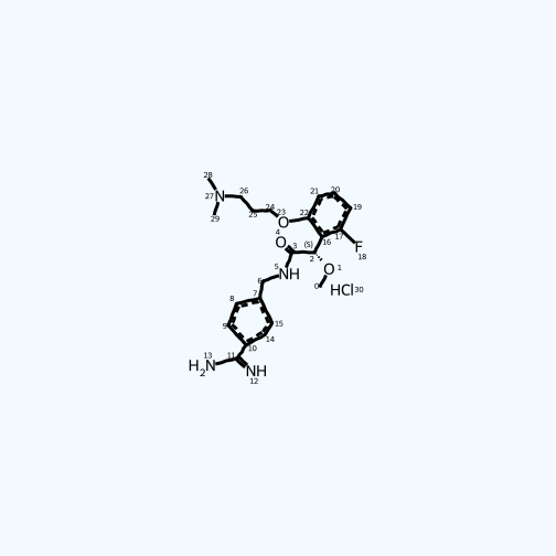 CO[C@H](C(=O)NCc1ccc(C(=N)N)cc1)c1c(F)cccc1OCCCN(C)C.Cl